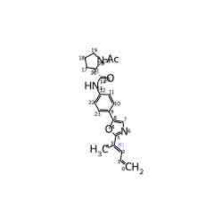 C=C/C=C(\C)c1ncc(-c2ccc(NC(=O)[C@@H]3CCCN3C(C)=O)cc2)o1